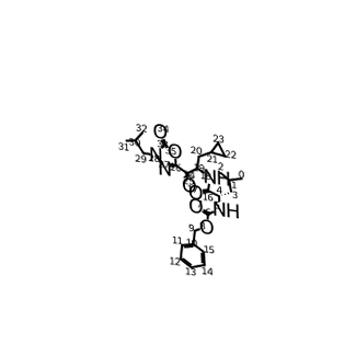 CC(C)C[C@H](NC(=O)OCc1ccccc1)C(=O)NC(CC1CC1)C(=O)c1nn(CC(C)C)c(=O)o1